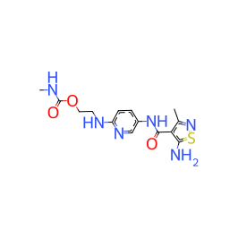 CNC(=O)OCCNc1ccc(NC(=O)c2c(C)nsc2N)cn1